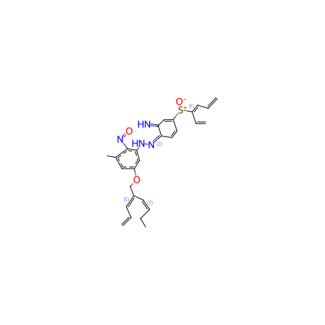 C=C/C=C(\C=C/CC)COc1cc(C)c(N=O)c(N/N=C2/C=CC([S+]([O-])/C(C=C)=C/C=C)=CC2=N)c1